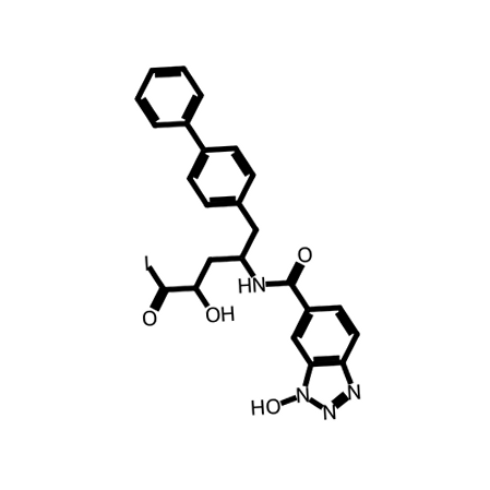 O=C(NC(Cc1ccc(-c2ccccc2)cc1)CC(O)C(=O)I)c1ccc2nnn(O)c2c1